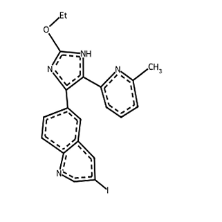 CCOc1nc(-c2ccc3ncc(I)cc3c2)c(-c2cccc(C)n2)[nH]1